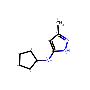 Cc1cc(NC2CCCC2)[nH]n1